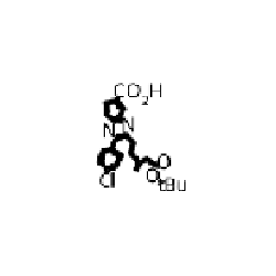 CC(CCc1nc2cc(C(=O)O)ccc2nc1-c1ccc(Cl)cc1)CC(=O)OC(C)(C)C